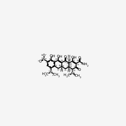 CN(C)c1cc([N+](=O)[O-])c(O)c2c1C[C@H]1C[C@H]3[C@H](N(C)C)C(=O)C(C(N)=O)=C(O)[C@@]3(O)C(=O)C1=C2O